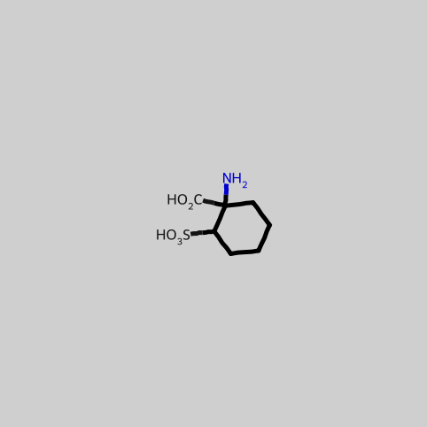 NC1(C(=O)O)CCCCC1S(=O)(=O)O